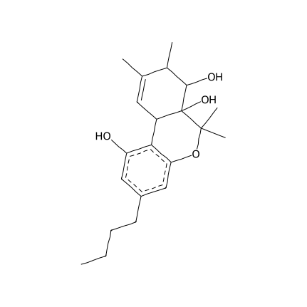 CCCCc1cc(O)c2c(c1)OC(C)(C)C1(O)C2C=C(C)C(C)C1O